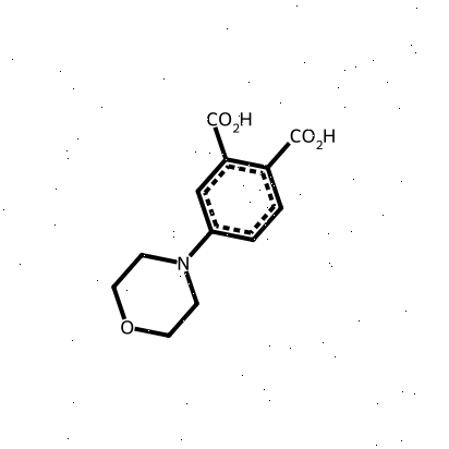 O=C(O)c1ccc(N2CCOCC2)cc1C(=O)O